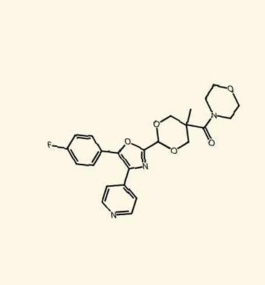 CC1(C(=O)N2CCOCC2)COC(c2nc(-c3ccncc3)c(-c3ccc(F)cc3)o2)OC1